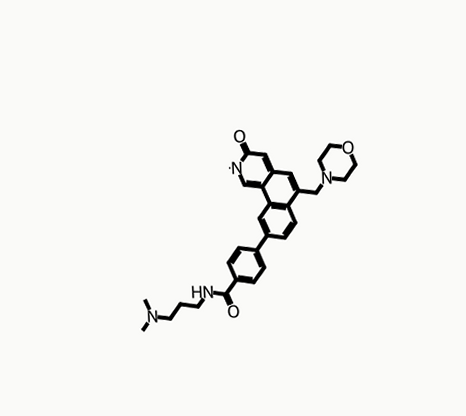 CN(C)CCCNC(=O)c1ccc(-c2ccc3c(CN4CCOCC4)cc4c(c3c2)=C[N]C(=O)C=4)cc1